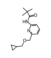 CC(C)(C)C(=O)Nc1cccc(COCC2CC2)n1